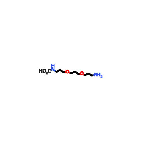 NCCCOCCCOCCCNC(=O)O